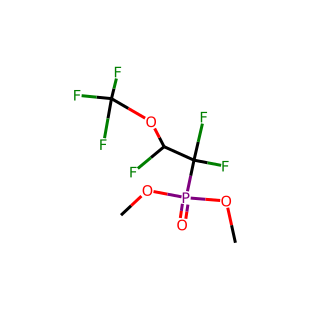 COP(=O)(OC)C(F)(F)C(F)OC(F)(F)F